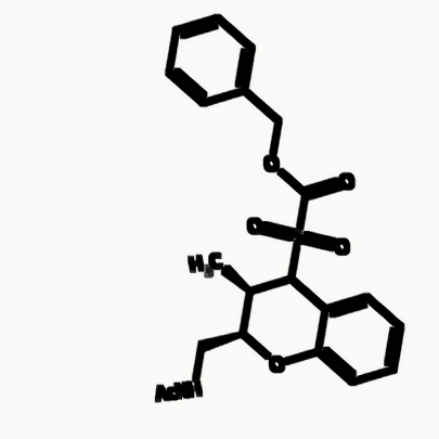 CC(=O)NC[C@@H]1Oc2ccccc2C(S(=O)(=O)C(=O)OCc2ccccc2)[C@@H]1C